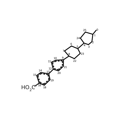 CC1CCC(C2CCC(c3ccc(-c4ccc(C(=O)O)cc4)cc3)CC2)CC1